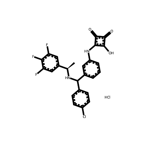 C[C@@H](NC(c1ccc(Cl)cc1)c1cccc(Nc2c(O)c(=O)c2=O)c1)c1cc(F)c(F)c(F)c1.Cl